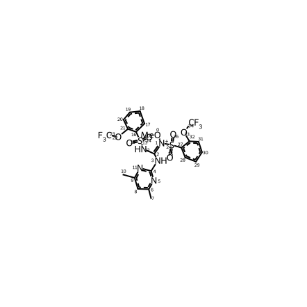 CO[N+](=C(Nc1nc(C)cc(C)n1)NS(=O)(=O)c1ccccc1OC(F)(F)F)S(=O)(=O)c1ccccc1OC(F)(F)F